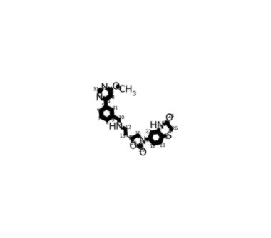 COc1cc(-c2cccc(CNCC[C@@H]3CN(c4ccc5c(c4)NC(=O)CS5)C(=O)O3)c2)ncn1